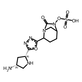 N[C@H]1CN[C@@H](c2nnc(C3CCC4CN3C(=O)N4OS(=O)(=O)O)o2)C1